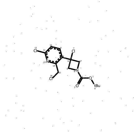 CC(C)(C)OC(=O)N1CC(Cl)(c2ccc(Cl)nc2CCl)C1